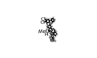 COC(=O)c1nc(Sc2cccc(Cl)c2Cl)c(OCc2ccccc2)cc1N1CCC2(CCC[C@H]2N(C)C(=O)OC(C)(C)C)CC1